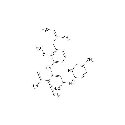 C=C=C(C(N)=O)/C(=C\C(=C)NC1C=CC(C)=CN1)Nc1cccc(C/C(C)=C\C)c1OC